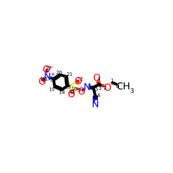 CCOC(=O)/C(C#N)=N/OS(=O)(=O)c1ccc([N+](=O)[O-])cc1